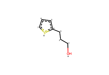 O[CH]CCc1cccs1